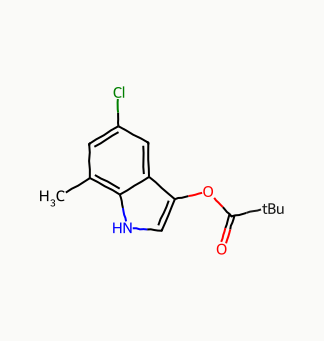 Cc1cc(Cl)cc2c(OC(=O)C(C)(C)C)c[nH]c12